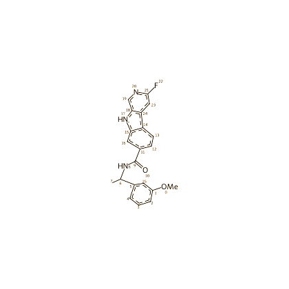 COc1cccc(C(C)NC(=O)c2ccc3c(c2)[nH]c2cnc(F)cc23)c1